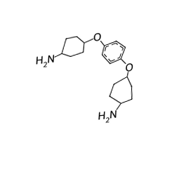 NC1CCC(Oc2ccc(OC3CCC(N)CC3)cc2)CC1